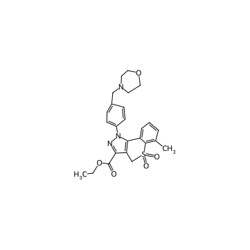 CCOC(=O)c1nn(-c2ccc(CN3CCOCC3)cc2)c2c1CS(=O)(=O)c1c(C)cccc1-2